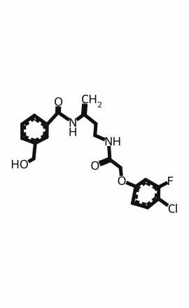 C=C(CCNC(=O)COc1ccc(Cl)c(F)c1)NC(=O)c1cccc(CO)c1